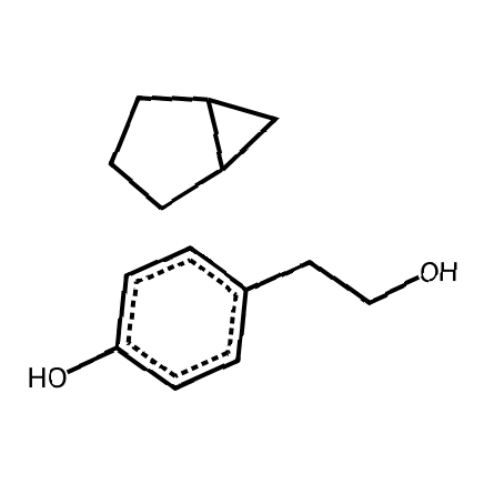 C1CC2CC2C1.OCCc1ccc(O)cc1